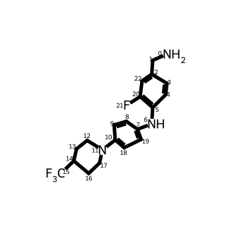 NCc1ccc(Nc2ccc(N3CCC(C(F)(F)F)CC3)cc2)c(F)c1